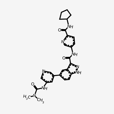 CN(C)C(=O)Nc1cncc(-c2ccc3[nH]nc(C(=O)Nc4ccc(C(=O)NC5CCCC5)nc4)c3c2)c1